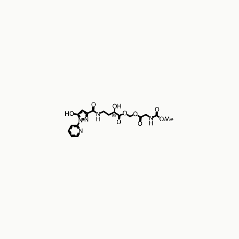 COC(=O)NCC(=O)OCOC(=O)[C@H](O)CCNC(=O)c1cc(O)n(-c2ccccn2)n1